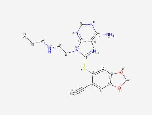 C#Cc1cc2c(cc1Sc1nc3c(N)ncnc3n1CCNCCC(C)C)OCO2